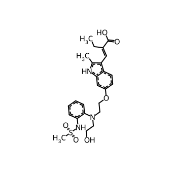 CCC(=Cc1c(C)[nH]c2cc(OCCN(CCO)c3ccccc3NS(C)(=O)=O)ccc12)C(=O)O